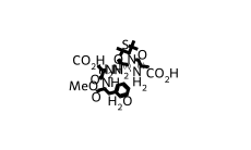 COC(=O)C(Cc1ccccc1)NC(=O)C(N)CC(=O)O.C[C@H](C(N)=O)N(C(=O)[C@@H](N)CC(=O)O)C1C(C)(C)SC1(C)C.O